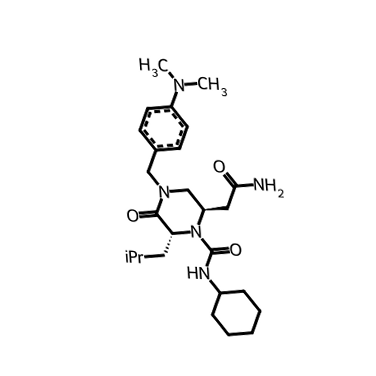 CC(C)C[C@@H]1C(=O)N(Cc2ccc(N(C)C)cc2)C[C@@H](CC(N)=O)N1C(=O)NC1CCCCC1